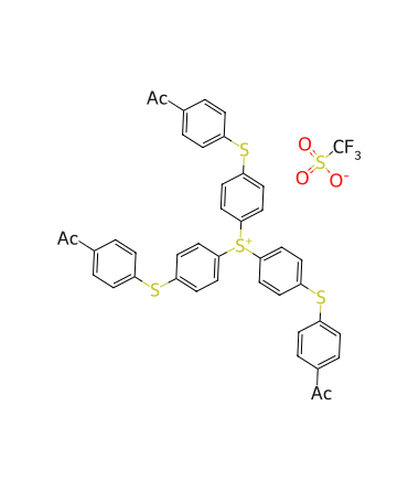 CC(=O)c1ccc(Sc2ccc([S+](c3ccc(Sc4ccc(C(C)=O)cc4)cc3)c3ccc(Sc4ccc(C(C)=O)cc4)cc3)cc2)cc1.O=S(=O)([O-])C(F)(F)F